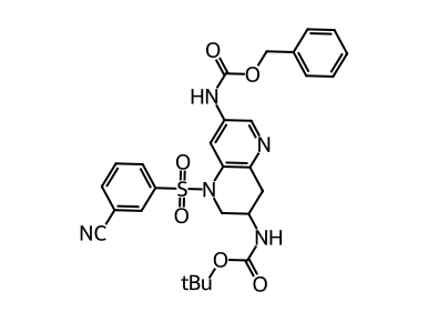 CC(C)(C)OC(=O)NC1Cc2ncc(NC(=O)OCc3ccccc3)cc2N(S(=O)(=O)c2cccc(C#N)c2)C1